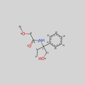 CCC(CO)(NC(=O)COC)c1ccccc1